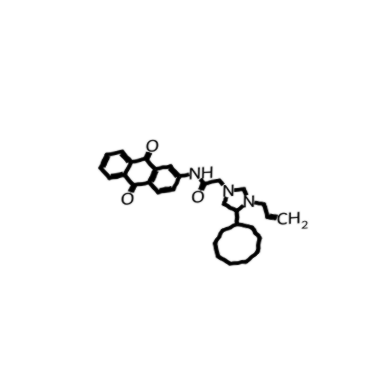 C=CCN1CN(CC(=O)Nc2ccc3c(c2)C(=O)c2ccccc2C3=O)CC1C1CCCCCCCC1